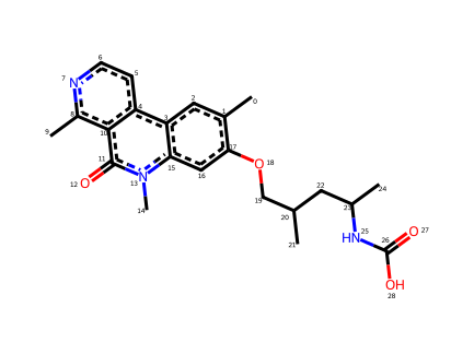 Cc1cc2c3ccnc(C)c3c(=O)n(C)c2cc1OCC(C)CC(C)NC(=O)O